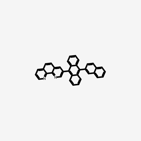 c1ccc2cc(-c3c4ccccc4c(-c4cnc5c(ccc6cccnc65)c4)c4ccccc34)ccc2c1